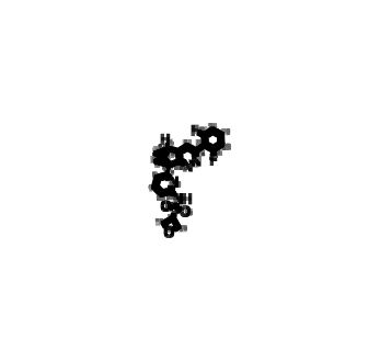 CC1(C)[C@H]2CC[C@@]1(c1cccc(NS(=O)(=O)C3COC3)n1)c1nnc(-c3c(F)cccc3F)cc12